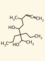 C=C=CC(C)CC(O)C(CCC)(CCC)C(C)O